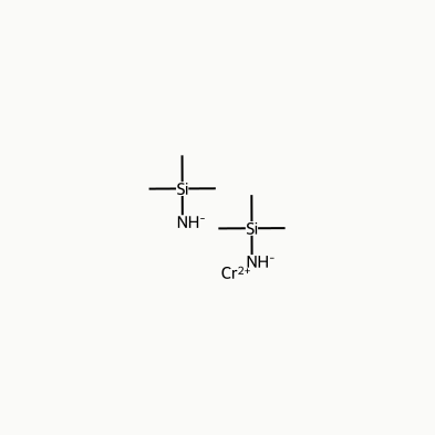 C[Si](C)(C)[NH-].C[Si](C)(C)[NH-].[Cr+2]